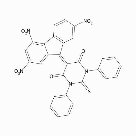 O=C1C(=C2c3cc([N+](=O)[O-])ccc3-c3c2cc([N+](=O)[O-])cc3[N+](=O)[O-])C(=O)N(c2ccccc2)C(=S)N1c1ccccc1